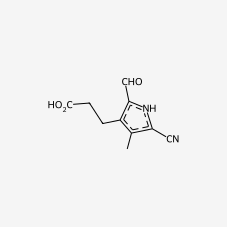 Cc1c(C#N)[nH]c(C=O)c1CCC(=O)O